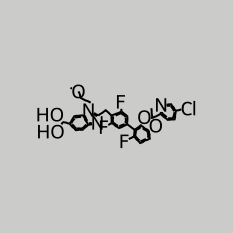 COCCn1c(Cc2c(F)cc(-c3c(F)ccc4c3OC(C)(c3ccc(Cl)cn3)O4)cc2F)nc2ccc(C(O)O)cc21